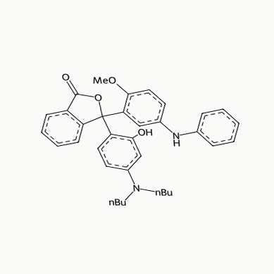 CCCCN(CCCC)c1ccc(C2(c3cc(Nc4ccccc4)ccc3OC)OC(=O)c3ccccc32)c(O)c1